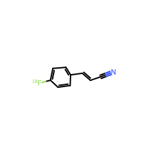 N#C/C=C/c1ccc([18F])cc1